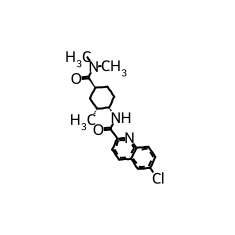 C[C@@H]1C[C@@H](C(=O)N(C)C)CC[C@@H]1NC(=O)c1ccc2cc(Cl)ccc2n1